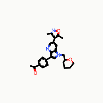 CC(=O)c1ccc(-c2cn(CC3CCCCO3)c3cc(-c4c(C)noc4C)cnc23)cc1